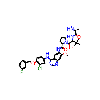 CN[C@@H](C)C(=O)N[C@H](C(=O)N1CCC[C@H]1C(=O)Nc1cc2c(Nc3ccc(OCc4cccc(F)c4)c(Cl)c3)ncnc2cc1OC)C(C)(C)C